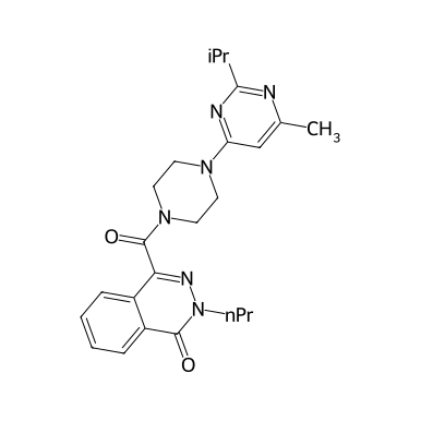 CCCn1nc(C(=O)N2CCN(c3cc(C)nc(C(C)C)n3)CC2)c2ccccc2c1=O